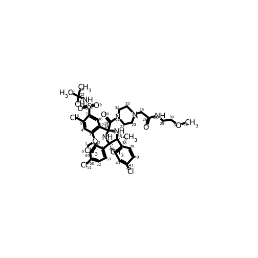 CCOc1cc(Cl)c(S(=O)(=O)NC(C)(C)C)cc1C1(C(=O)N2CCN(CC(=O)NCCOC)CC2)N[C@@](C)(c2ccc(Cl)cc2)[C@@](C)(c2ccc(Cl)cc2)N1